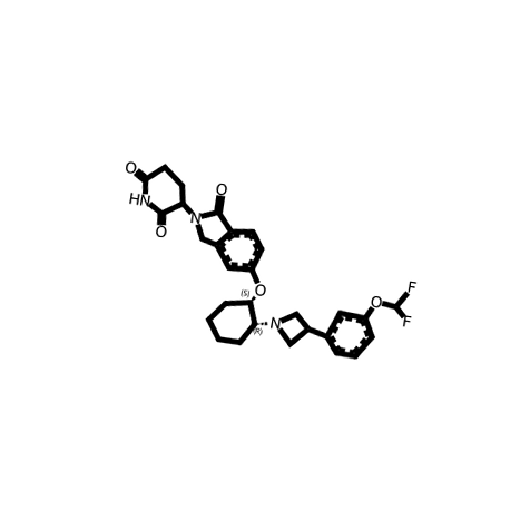 O=C1CCC(N2Cc3cc(O[C@H]4CCCC[C@H]4N4CC(c5cccc(OC(F)F)c5)C4)ccc3C2=O)C(=O)N1